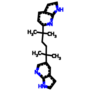 CC(C)(CCC(C)(C)c1ccc2cc[nH]c2n1)c1cnc2[nH]ccc2c1